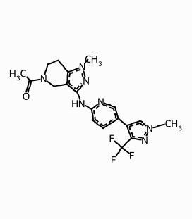 CC(=O)N1CCc2c(c(Nc3ccc(-c4cn(C)nc4C(F)(F)F)cn3)nn2C)C1